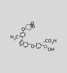 Cc1cc(OC2CCS(=O)(=O)CC2)ccc1-c1csc2ccc(COc3ccc([C@]4(CC(=O)O)C[C@@H](O)C4)cc3)cc12